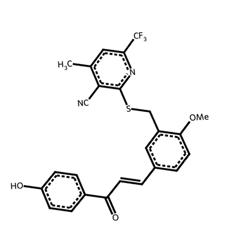 COc1ccc(/C=C/C(=O)c2ccc(O)cc2)cc1CSc1nc(C(F)(F)F)cc(C)c1C#N